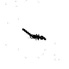 CCCCCCCCCCCOc1ccc(-c2ncc(C3CCC(CCC)CC3)cn2)cc1